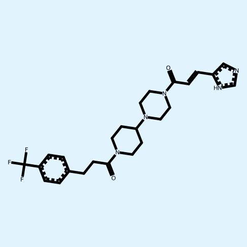 O=C(C=Cc1cnc[nH]1)N1CCN(C2CCN(C(=O)CCc3ccc(C(F)(F)F)cc3)CC2)CC1